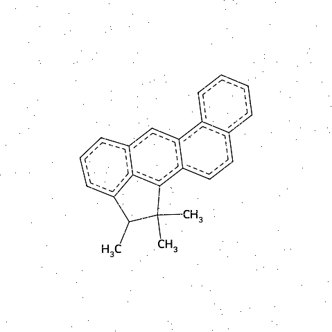 CC1c2cccc3cc4c(ccc5ccccc54)c(c23)C1(C)C